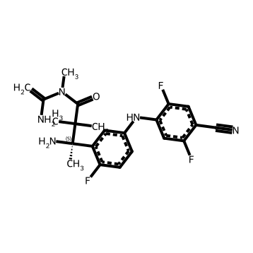 C=C(N)N(C)C(=O)C(C)(C)[C@](C)(N)c1cc(Nc2cc(F)c(C#N)cc2F)ccc1F